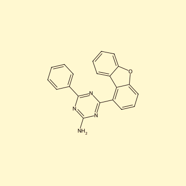 Nc1nc(-c2ccccc2)nc(-c2cccc3oc4ccccc4c23)n1